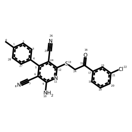 Cc1ccc(-c2c(C#N)c(N)nc(SCC(=O)c3cccc(Cl)c3)c2C#N)cc1